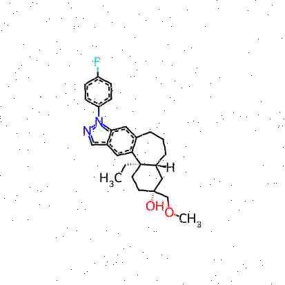 CC[C@@]12CC[C@](O)(COC)C[C@H]1CCCc1cc3c(cnn3-c3ccc(F)cc3)cc12